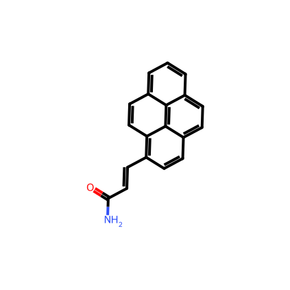 NC(=O)C=Cc1ccc2ccc3cccc4ccc1c2c34